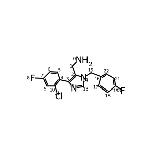 NCc1c(-c2ccc(F)cc2Cl)ncn1Cc1ccc(F)cc1